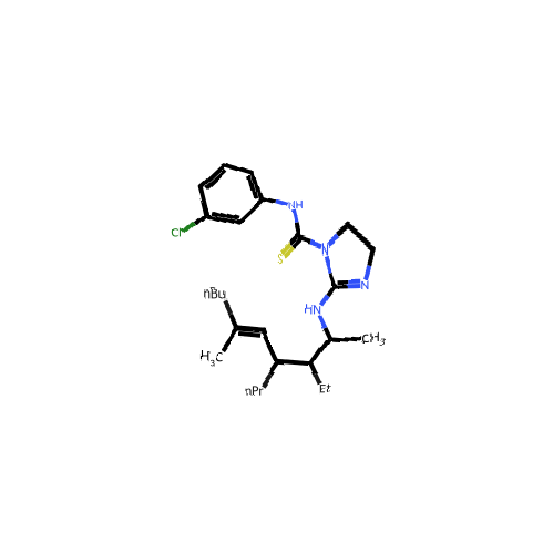 CCCCC(C)=CC(CCC)C(CC)C(C)NC1=NCCN1C(=S)Nc1cccc(Cl)c1